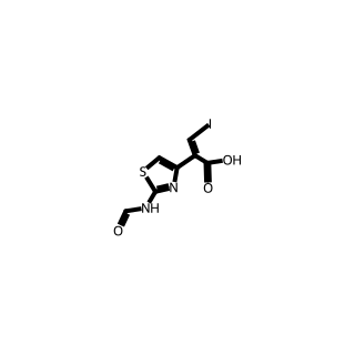 O=CNc1nc(C(=CI)C(=O)O)cs1